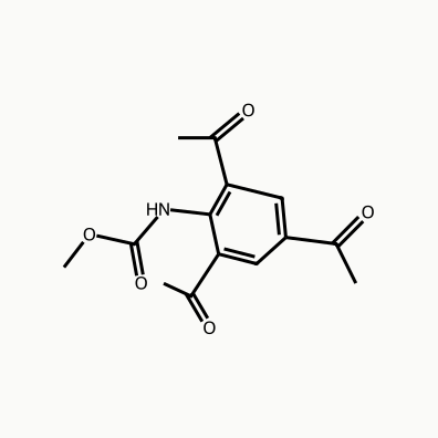 COC(=O)Nc1c(C(C)=O)cc(C(C)=O)cc1C(C)=O